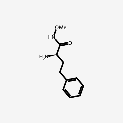 CONC(=O)[C@H](N)CCc1ccccc1